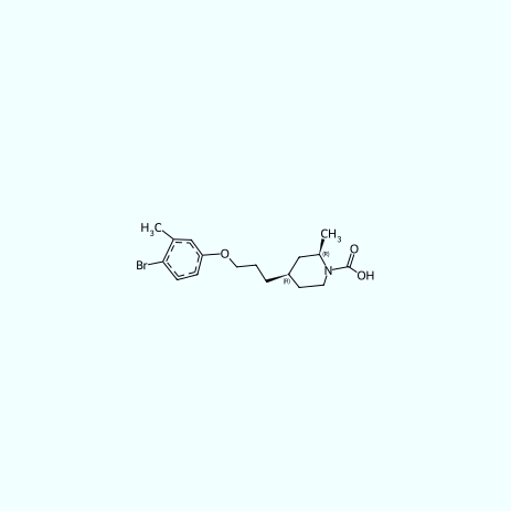 Cc1cc(OCCC[C@@H]2CCN(C(=O)O)[C@H](C)C2)ccc1Br